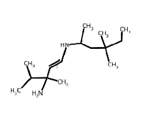 CCC(C)(C)CC(C)N/C=C/C(C)(N)C(C)C